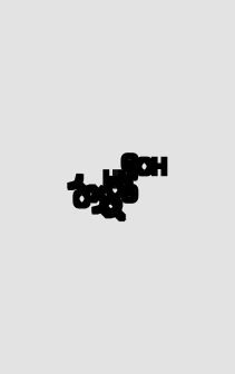 Cc1cc(C)c(C(C)(C)CC(=O)C(C)C)c(OC(=O)NCC(=O)O)c1